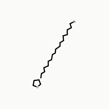 C1CCOC1.CCCCCCCCCCCCCCCCCCBr